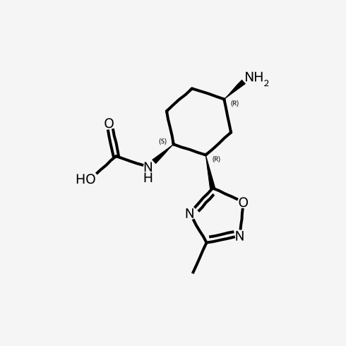 Cc1noc([C@@H]2C[C@H](N)CC[C@@H]2NC(=O)O)n1